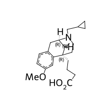 COc1ccc2c(c1)[C@]1(CCCC(=O)O)CCN(CC3CC3)[C@H](C2)[C@@H]1C